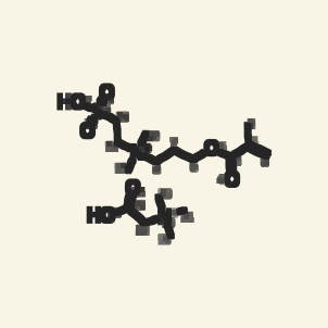 C=C(C)C(=O)OCCC[N+](C)(C)CCS(=O)(=O)O.C[N+](C)(C)CC(=O)O